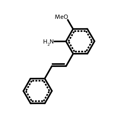 COc1cccc(C=Cc2ccccc2)c1N